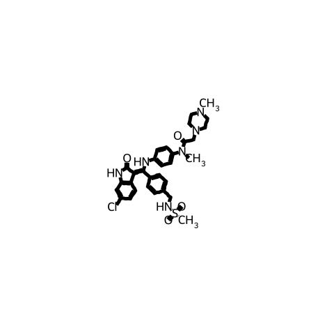 CN1CCN(CC(=O)N(C)c2ccc(N/C(=C3\C(=O)Nc4cc(Cl)ccc43)c3ccc(CNS(C)(=O)=O)cc3)cc2)CC1